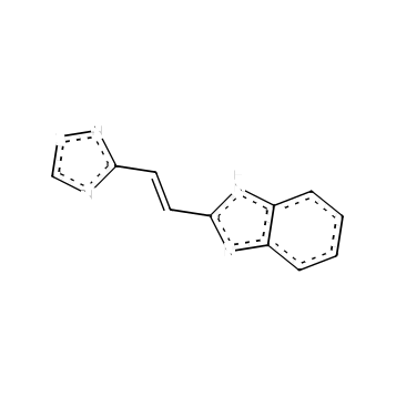 C(=Cc1nc2ccccc2[nH]1)c1ncsn1